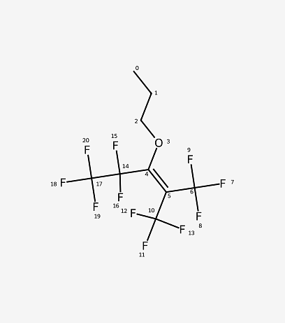 CCCOC(=C(C(F)(F)F)C(F)(F)F)C(F)(F)C(F)(F)F